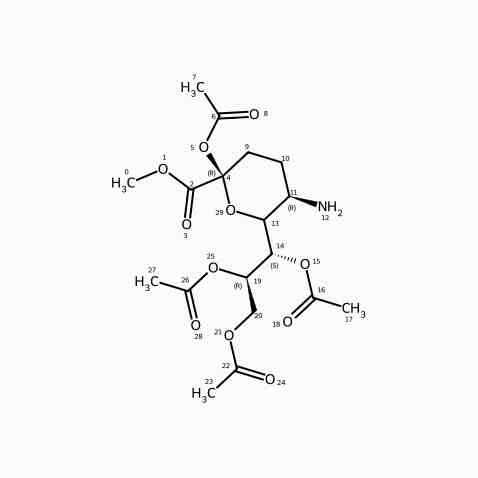 COC(=O)[C@]1(OC(C)=O)CC[C@@H](N)C([C@H](OC(C)=O)[C@@H](COC(C)=O)OC(C)=O)O1